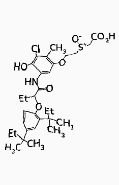 CCC(Oc1ccc(C(C)(C)CC)cc1C(C)(C)CC)C(=O)Nc1cc(OCC[S+]([O-])CC(=O)O)c(C)c(Cl)c1O